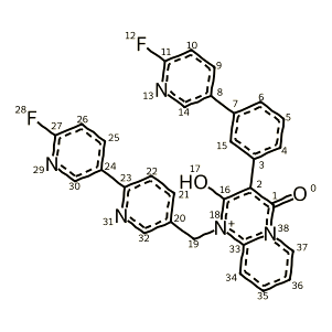 O=c1c(-c2cccc(-c3ccc(F)nc3)c2)c(O)[n+](Cc2ccc(-c3ccc(F)nc3)nc2)c2ccccn12